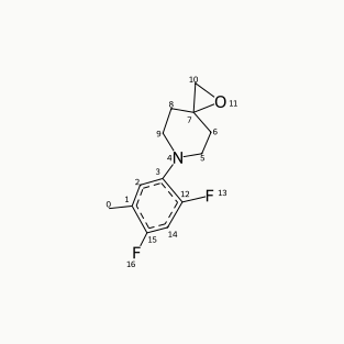 Cc1cc(N2CCC3(CC2)CO3)c(F)cc1F